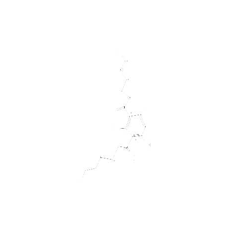 O=C(CCCCCBr)c1c(O)cc(O)c(C(=O)CCCCCBr)c1O